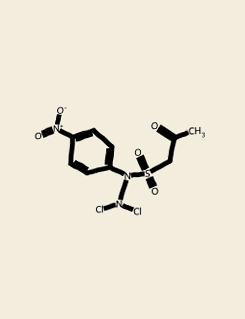 CC(=O)CS(=O)(=O)N(c1ccc([N+](=O)[O-])cc1)N(Cl)Cl